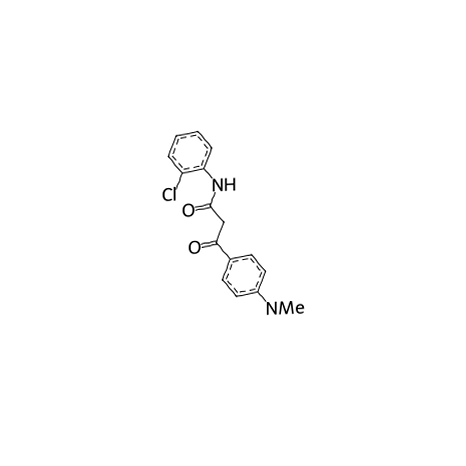 CNc1ccc(C(=O)CC(=O)Nc2ccccc2Cl)cc1